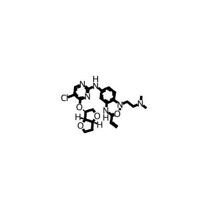 C=CC(=O)Nc1cc(Nc2ncc(Cl)c(O[C@@H]3CO[C@@H]4CCO[C@@H]43)n2)ccc1N(C)CCN(C)C